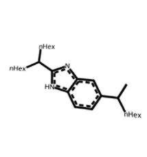 CCCCCCC(C)c1ccc2[nH]c(C(CCCCCC)CCCCCC)nc2c1